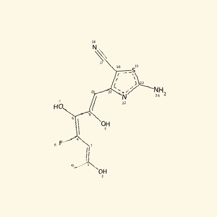 C\C(O)=C/C(F)=C(O)\C(O)=C\c1nc(N)sc1C#N